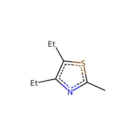 CCc1nc(C)sc1CC